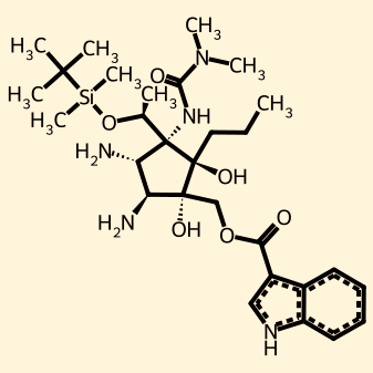 CCC[C@@]1(O)[C@](NC(=O)N(C)C)([C@H](C)O[Si](C)(C)C(C)(C)C)[C@@H](N)[C@H](N)[C@]1(O)COC(=O)c1c[nH]c2ccccc12